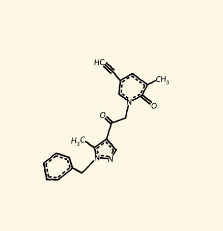 C#Cc1cc(C)c(=O)n(CC(=O)c2cnn(Cc3ccccc3)c2C)c1